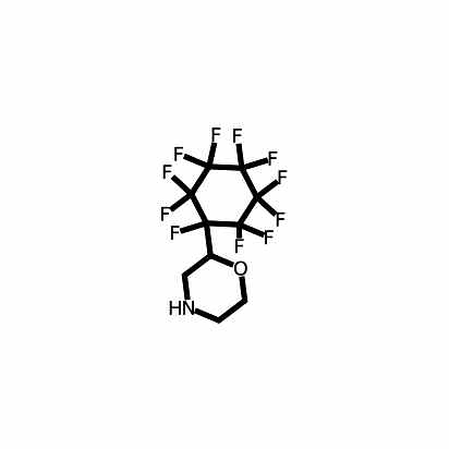 FC1(F)C(F)(F)C(F)(F)C(F)(C2CNCCO2)C(F)(F)C1(F)F